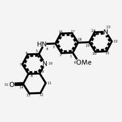 COc1cc(Nc2ccc3c(n2)CCCC3=O)ccc1-c1cccnc1